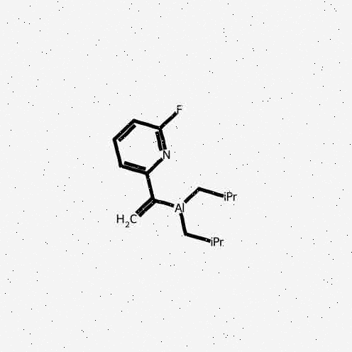 C=[C](c1cccc(F)n1)[Al]([CH2]C(C)C)[CH2]C(C)C